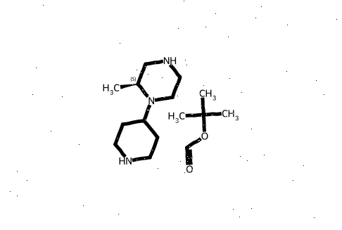 CC(C)(C)OC=O.C[C@H]1CNCCN1C1CCNCC1